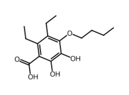 CCCCOc1c(O)c(O)c(C(=O)O)c(CC)c1CC